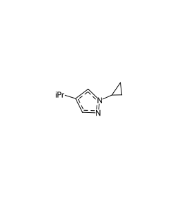 CC(C)c1cnn(C2CC2)c1